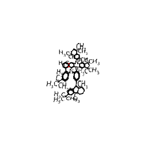 Cc1cc2c3c(c1)N(c1ccc(C(C)(C)C)cc1-c1ccccc1)c1cc(C4c5ccc(C(C)(C)C)cc5C5(C)CCCCC45C)ccc1B3c1cc3c(cc1N2c1cc2c(cc1C)C(C)(C)CCC2(C)C)C(C)(C)CC3(C)C